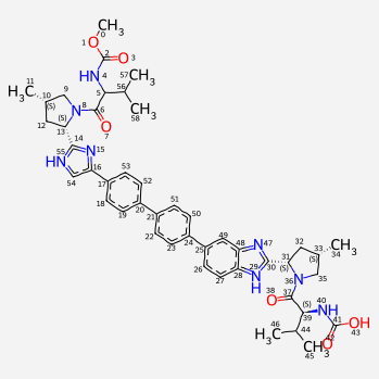 COC(=O)NC(C(=O)N1C[C@@H](C)C[C@H]1c1nc(-c2ccc(-c3ccc(-c4ccc5[nH]c([C@@H]6C[C@H](C)CN6C(=O)[C@@H](NC(=O)O)C(C)C)nc5c4)cc3)cc2)c[nH]1)C(C)C